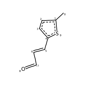 Cc1ccc(C=C[C]=O)s1